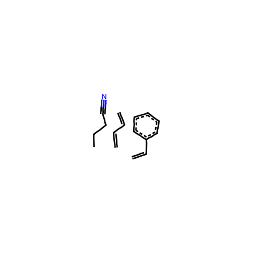 C=CC=C.C=Cc1ccccc1.CCCC#N